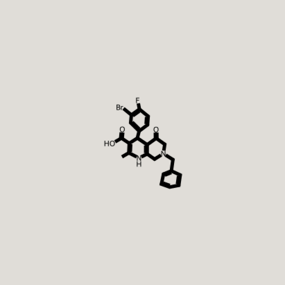 CC1=C(C(=O)O)C(c2ccc(F)c(Br)c2)C2=C(CN(Cc3ccccc3)CC2=O)N1